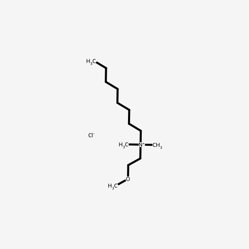 CCCCCCCC[N+](C)(C)CCOC.[Cl-]